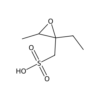 CCC1(CS(=O)(=O)O)OC1C